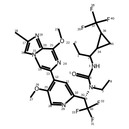 CCC(NC(=O)N(CC)[C@@H](c1cc(-c2cn3cc(C)nc3c(OC)n2)c(OC)cn1)C(F)(F)F)C1CC1C(F)(F)F